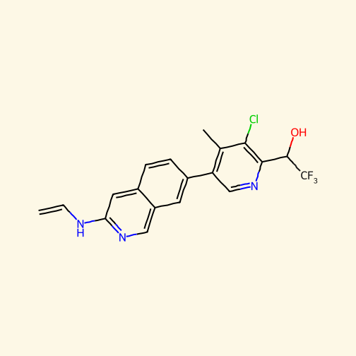 C=CNc1cc2ccc(-c3cnc(C(O)C(F)(F)F)c(Cl)c3C)cc2cn1